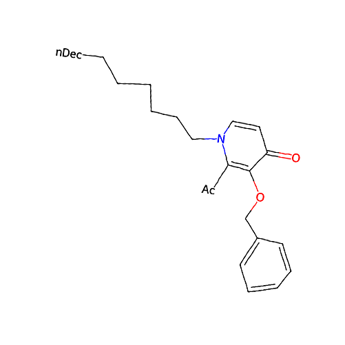 CCCCCCCCCCCCCCCCn1ccc(=O)c(OCc2ccccc2)c1C(C)=O